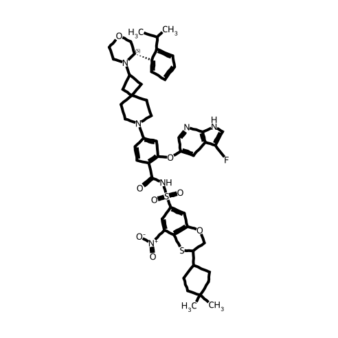 CC(C)c1ccccc1[C@H]1COCCN1C1CC2(CCN(c3ccc(C(=O)NS(=O)(=O)c4cc5c(c([N+](=O)[O-])c4)SC(C4CCC(C)(C)CC4)CO5)c(Oc4cnc5[nH]cc(F)c5c4)c3)CC2)C1